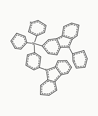 c1ccc(-n2c3ccccc3c3cc([Si](c4ccccc4)(c4cccnc4)c4cccc(-n5c6ccccc6c6ccccc65)c4)ccc32)cc1